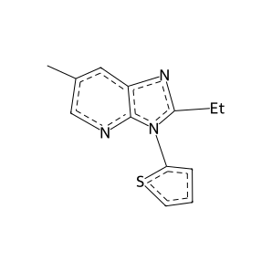 CCc1nc2cc(C)cnc2n1-c1cccs1